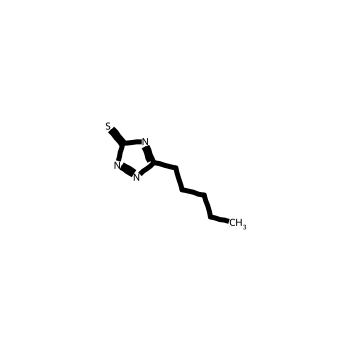 CCCCCC1=NC(=S)N=N1